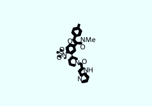 CNC(=O)c1c(-c2ccc(C)cc2)oc2cc(N(C)S(C)(=O)=O)c([C@@H]3CCCN(C(=O)c4cc5ncccc5[nH]4)C3)cc12